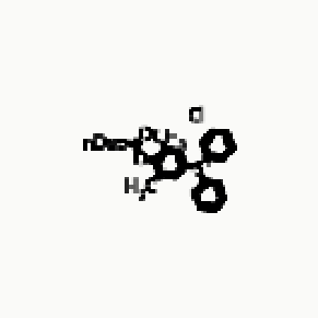 CCCCCCCCCCC(=O)Oc1c(C)cc([S+](c2ccccc2)c2ccccc2)cc1C.[Cl-]